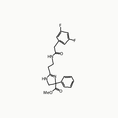 COC(=O)C1(c2ccccc2)CNC(CCNC(=O)Cc2cc(F)cc(F)c2)=N1